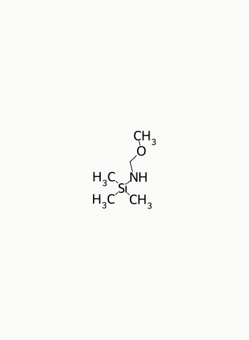 COCN[Si](C)(C)C